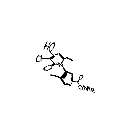 COC(=O)c1ccc(C)c(-n2c(C)cc(O)c(Cl)c2=O)c1